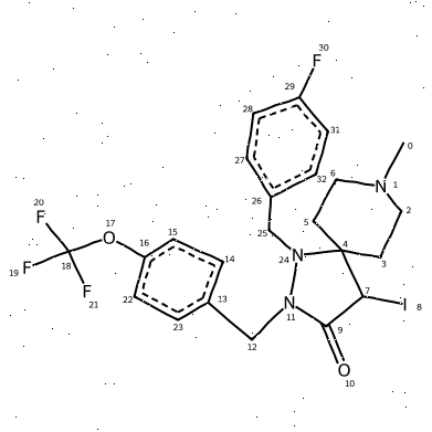 CN1CCC2(CC1)C(I)C(=O)N(Cc1ccc(OC(F)(F)F)cc1)N2Cc1ccc(F)cc1